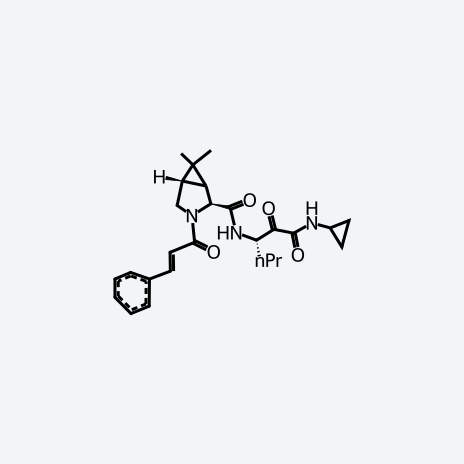 CCC[C@H](NC(=O)[C@@H]1C2[C@H](CN1C(=O)/C=C/c1ccccc1)C2(C)C)C(=O)C(=O)NC1CC1